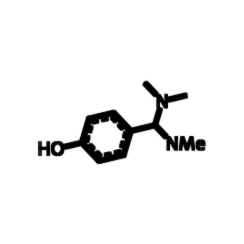 CNC(c1ccc(O)cc1)N(C)C